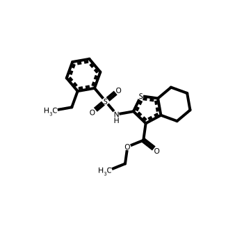 CCOC(=O)c1c(NS(=O)(=O)c2ccccc2CC)sc2c1CCCC2